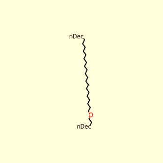 CCCCCCCCCCCCCCCCCCCCCCCCCCCCCCOCCCCCCCCCCCC